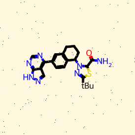 CC(C)(C)C1=NN(C2CCCc3cc(-c4ncnc5[nH]ncc45)ccc32)C(C(N)=O)S1